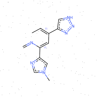 C=N/C(=C\C(=C/C)c1c[nH]nn1)c1cn(C)cn1